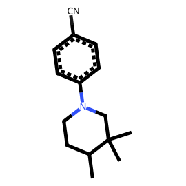 CC1CCN(c2ccc(C#N)cc2)CC1(C)C